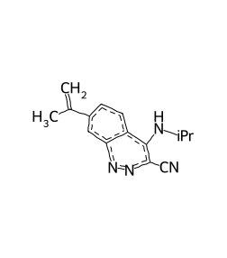 C=C(C)c1ccc2c(NC(C)C)c(C#N)nnc2c1